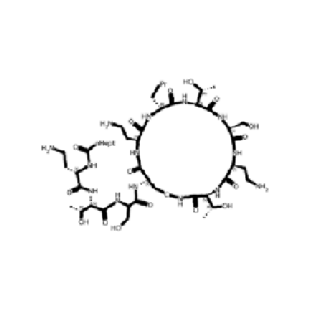 CCCCCCCC(=O)N[C@@H](CCN)C(=O)N[C@H](C(=O)NC(CO)C(=O)N[C@H]1CCNC(=O)[C@H]([C@@H](C)O)NC(=O)[C@H](CCN)NC(=O)[C@H](CO)NC(=O)[C@H]([C@@H](C)O)NC(=O)[C@@H](CC(C)C)NC(=O)[C@H](CCN)NC1=O)[C@@H](C)O